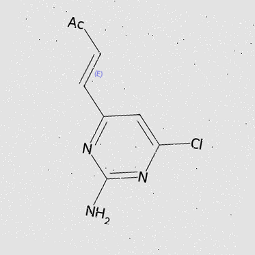 CC(=O)/C=C/c1cc(Cl)nc(N)n1